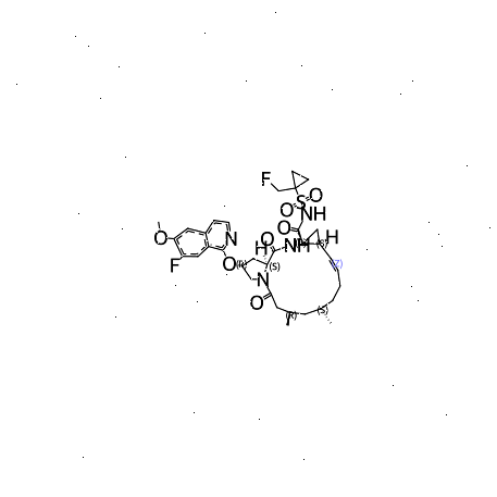 COc1cc2ccnc(O[C@@H]3C[C@H]4C(=O)N[C@]5(C(=O)NS(=O)(=O)C6(CF)CC6)C[C@H]5/C=C\CC[C@H](C)C[C@@H](C)CC(=O)N4C3)c2cc1F